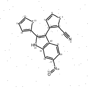 N#Cc1sccc1-c1c(-c2cccs2)[nH]c2cc(N=O)ccc12